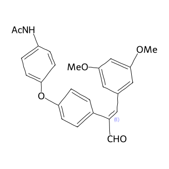 COc1cc(/C=C(/C=O)c2ccc(Oc3ccc(NC(C)=O)cc3)cc2)cc(OC)c1